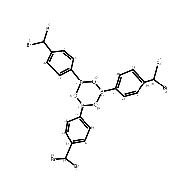 BrC(Br)c1ccc(B2OB(c3ccc(C(Br)Br)cc3)OB(c3ccc(C(Br)Br)cc3)O2)cc1